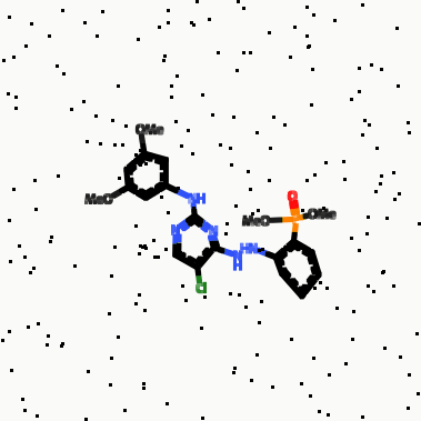 COc1cc(Nc2ncc(Cl)c(NNc3ccccc3P(=O)(OC)OC)n2)cc(OC)c1